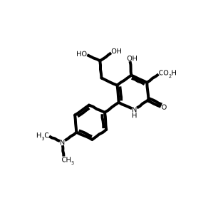 CN(C)c1ccc(-c2[nH]c(=O)c(C(=O)O)c(O)c2CC(O)O)cc1